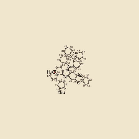 Cc1cc2c3c(c1)N(c1ccc(C(C)(C)C)cc1-c1ccccc1)c1cc4c(cc1B3N1c3ccccc3C3(c5ccccc5-c5ccccc53)c3cccc-2c31)Oc1ccccc1O4